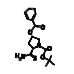 CC(C)(C)OC(=O)N1C[C@@H](OC(=O)c2ccccc2)C[C@@H]1C(N)=S